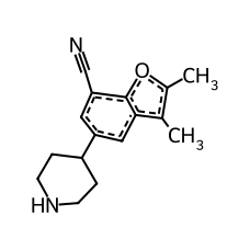 Cc1oc2c(C#N)cc(C3CCNCC3)cc2c1C